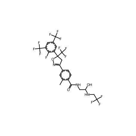 Cc1cc(C2=NOC(c3cc(C(F)(F)F)cc(C(F)(F)F)c3F)(C(F)(F)F)C2)ccc1C(=O)NCC(O)NCC(F)(F)F